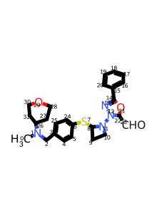 CN(Cc1ccc(SC2CCN2N2N=C(c3ccccc3)OC2C=O)cc1)C1CCOCC1